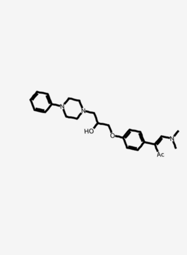 CC(=O)C(=CN(C)C)c1ccc(OCC(O)CN2CCN(c3ccccc3)CC2)cc1